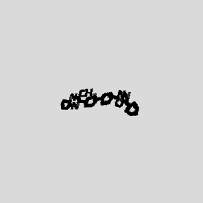 Cc1nc2ccccc2nc1-c1ccc(-c2ccc(-c3nnc(-c4ccccc4)o3)cc2)cc1